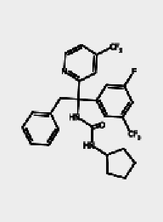 O=C(NC1CCCC1)NC(Cc1ccccc1)(c1cc(F)cc(C(F)(F)F)c1)c1cc(C(F)(F)F)ccn1